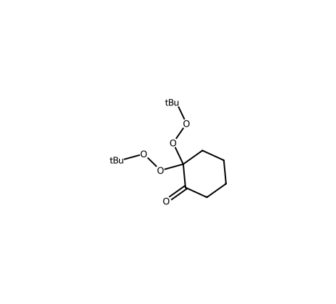 CC(C)(C)OOC1(OOC(C)(C)C)CCCCC1=O